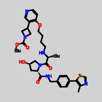 Cc1ncsc1-c1ccc(CNC(=O)[C@@H]2C[C@@H](O)CN2C(=O)[C@@H](NCCCCOc2ccncc2C2CN(C(=O)OC(C)(C)C)C2)C(C)(C)C)cc1